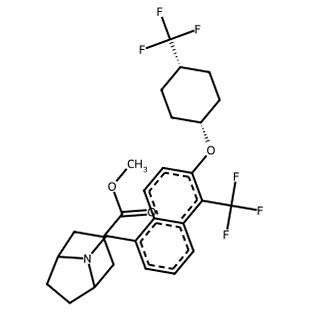 COC(=O)C1CC2CCC(C1)N2Cc1cccc2c(C(F)(F)F)c(O[C@H]3CC[C@@H](C(F)(F)F)CC3)ccc12